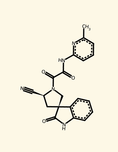 Cc1cccc(NC(=O)C(=O)N2C[C@]3(C[C@H]2C#N)C(=O)Nc2ccccc23)n1